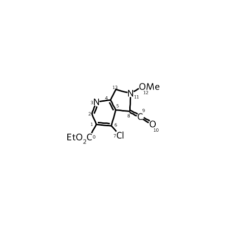 CCOC(=O)c1cnc2c(c1Cl)C(=C=O)N(OC)C2